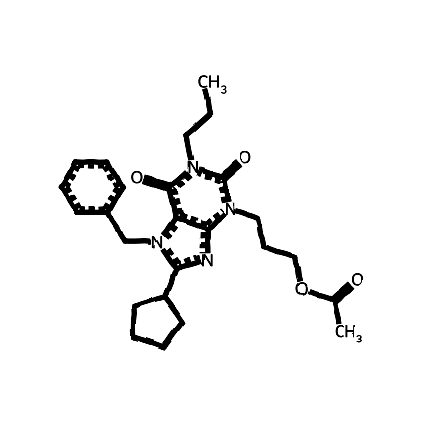 CCCn1c(=O)c2c(nc(C3CCCC3)n2Cc2ccccc2)n(CCCOC(C)=O)c1=O